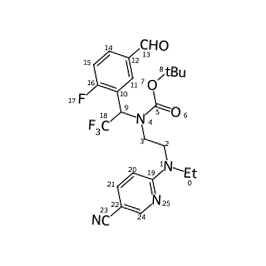 CCN(CCN(C(=O)OC(C)(C)C)C(c1cc(C=O)ccc1F)C(F)(F)F)c1ccc(C#N)cn1